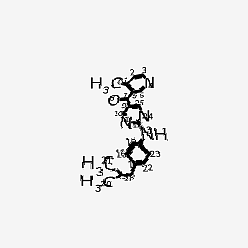 Cc1ccncc1C(=O)c1cnc(Nc2ccc(CC(C)C)cc2)nc1